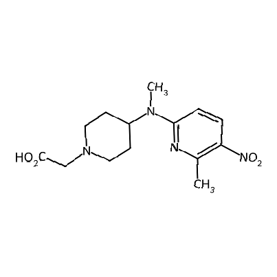 Cc1nc(N(C)C2CCN(CC(=O)O)CC2)ccc1[N+](=O)[O-]